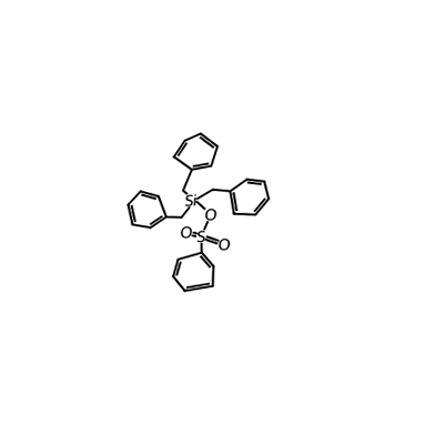 O=S(=O)(O[Si](Cc1ccccc1)(Cc1ccccc1)Cc1ccccc1)c1ccccc1